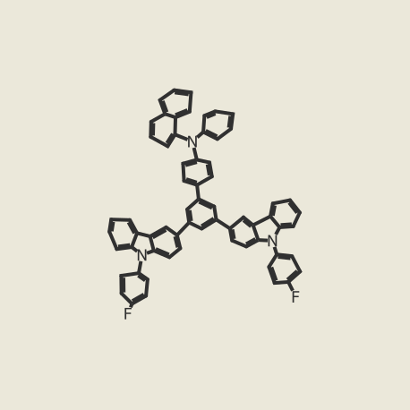 Fc1ccc(-n2c3ccccc3c3cc(-c4cc(-c5ccc(N(c6ccccc6)c6cccc7ccccc67)cc5)cc(-c5ccc6c(c5)c5ccccc5n6-c5ccc(F)cc5)c4)ccc32)cc1